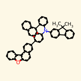 CC1(C)c2ccccc2-c2ccc(N(c3ccc(-c4ccc5c(ccc6oc7ccccc7c65)c4)cc3)c3ccccc3-c3cccc4ccccc34)cc21